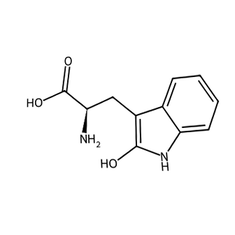 N[C@H](Cc1c(O)[nH]c2ccccc12)C(=O)O